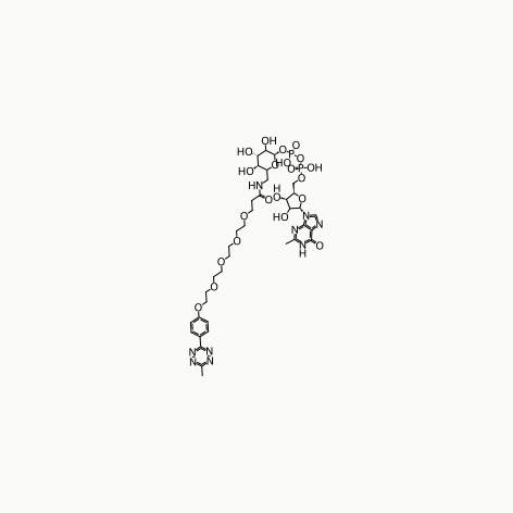 Cc1nnc(-c2ccc(OCCOCCOCCOCCOCCC(=O)NCC3O[C@H](OP(=O)(O)OP(=O)(O)OC[C@H]4O[C@@H](n5cnc6c(=O)[nH]c(C)nc65)C(O)[C@H]4O)C(O)[C@@H](O)[C@@H]3O)cc2)nn1